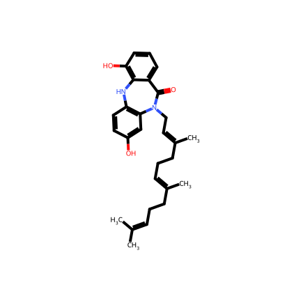 CC(C)=CCC/C(C)=C/CC/C(C)=C/CN1C(=O)c2cccc(O)c2Nc2ccc(O)cc21